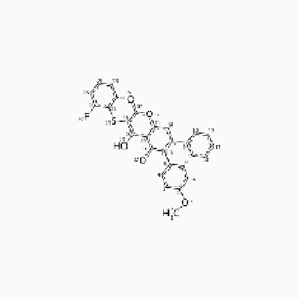 COc1ccc(-n2c(-c3ccccc3)cc3oc(=O)c(Sc4ccccc4F)c(O)c3c2=O)cc1